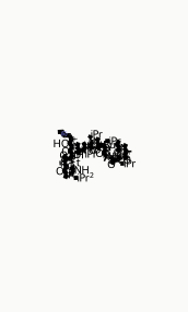 C/C=C/C[C@H](C)[C@H](O)C(C(=O)N[C@@H](CC)C(=O)N(C)CC(=O)N(C)[C@@H](CC(C)C)C(N)=O)N(C)C(=O)[C@H](C(C)C)N(C)C(=O)[C@@H](CC(C)C)N(C)C(=O)[C@@H](CC(C)C)N(C)C(=O)[C@H](C)NC(=O)[C@@H](CC(C)C)NC(=O)[C@H](C)N(C)C(=O)[C@H](C)C(C)(C)C